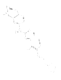 Cc1c(NCCN2CCCC2)ccc2cnc(Nc3ccc4cn[nH]c4c3)nc12